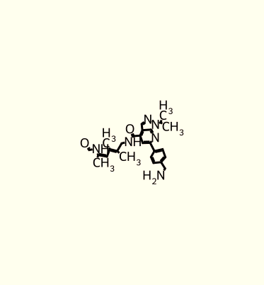 C/C(=C/C(C)=C(\C)CNC(=O)c1cc(-c2ccc(CN)cc2)nc2c1cnn2C(C)C)NC=O